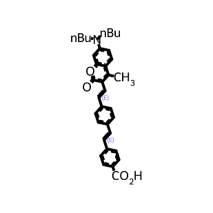 CCCCN(CCCC)c1ccc2c(C)c(/C=C/c3ccc(/C=C/c4ccc(C(=O)O)cc4)cc3)c(=O)oc2c1